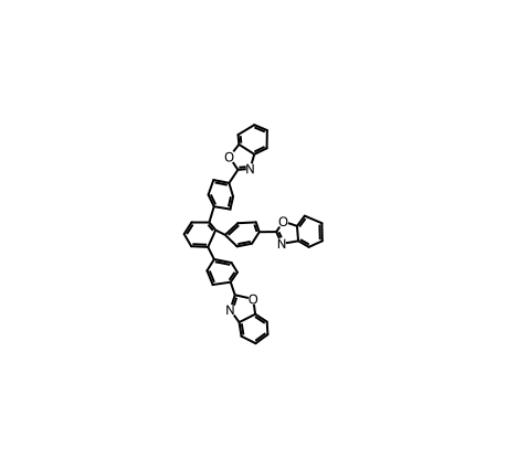 c1cc(-c2ccc(-c3nc4ccccc4o3)cc2)c(-c2ccc(-c3nc4ccccc4o3)cc2)c(-c2ccc(-c3nc4ccccc4o3)cc2)c1